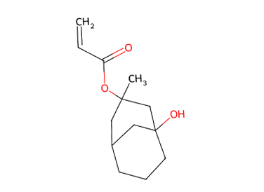 C=CC(=O)OC1(C)CC2CCCC(O)(C2)C1